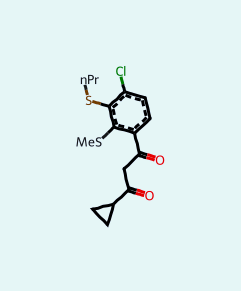 CCCSc1c(Cl)ccc(C(=O)CC(=O)C2CC2)c1SC